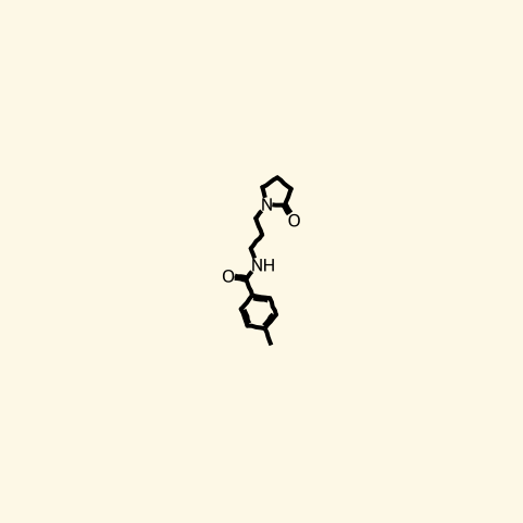 Cc1ccc(C(=O)NCCCN2CCCC2=O)cc1